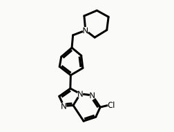 Clc1ccc2ncc(-c3ccc(CN4CCCCC4)cc3)n2n1